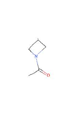 CC(=O)N1C[CH]C1